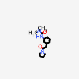 CN(C)C(=O)Nc1cccc(CC(=O)N2CCCC2)c1